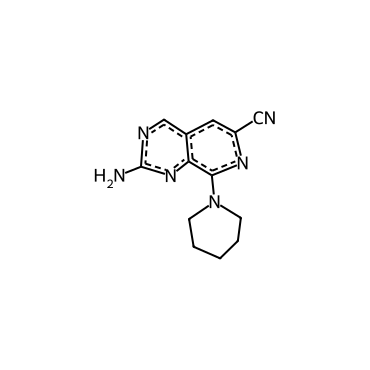 N#Cc1cc2cnc(N)nc2c(N2CCCCC2)n1